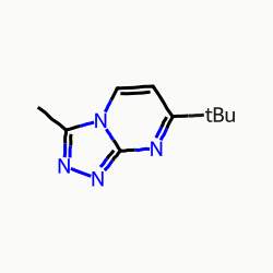 Cc1nnc2nc(C(C)(C)C)ccn12